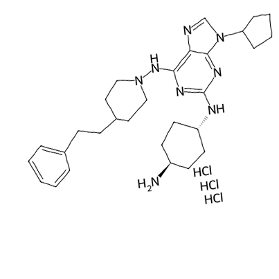 Cl.Cl.Cl.N[C@H]1CC[C@H](Nc2nc(NN3CCC(CCc4ccccc4)CC3)c3ncn(C4CCCC4)c3n2)CC1